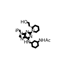 CC(=O)NC1CCCC(Nc2nc(N3CCCC[C@H]3CCO)nc3c2ncn3C(C)C)C1